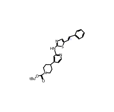 CC(C)(C)OC(=O)N1CCC(c2ccnc(Nc3ncc(/C=C/c4ccccc4)s3)c2)CC1